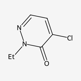 CCn1nccc(Cl)c1=O